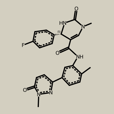 Cc1ccc(-c2ccc(=O)n(C)n2)cc1NC(=O)C1=CN(C)C(=O)N[C@H]1c1ccc(F)cc1